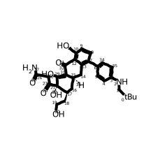 CC(C)(C)CNc1ccc(-c2ccc(O)c3c2C[C@H]2C[C@@H](CCO)[C@@](O)(C(=O)CC(N)=O)C(O)=C2C3=O)cc1